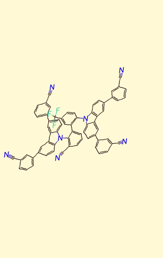 N#Cc1cccc(-c2ccc3c(c2)c2cc(-c4cccc(C#N)c4)ccc2n3-c2ccc(C(F)(F)F)cc2-c2cccc(C#N)c2-n2c3ccc(-c4cccc(C#N)c4)cc3c3cc(-c4cccc(C#N)c4)ccc32)c1